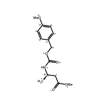 COC(=O)C[C@@H](C)NC(=O)OCc1ccc(OC)cc1